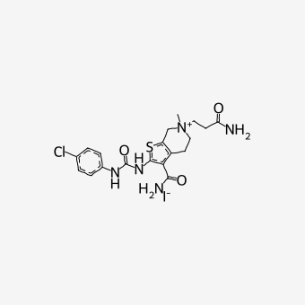 C[N+]1(CCC(N)=O)CCc2c(sc(NC(=O)Nc3ccc(Cl)cc3)c2C(N)=O)C1.[I-]